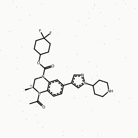 CC(=O)N1c2ccc(-c3cnn(C4CCNCC4)c3)cc2N(C(=O)OC2CCC(F)(F)CC2)C[C@@H]1C